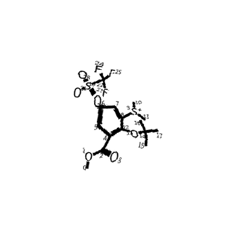 COC(=O)c1cccc([S+](C)C)c1OC(C)(C)C.O=S(=O)([O-])C(F)(F)F